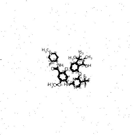 COc1cc(C(=O)N[C@H]2CCN(C)C[C@H]2F)c(Cl)cc1Nc1ncc(C(F)(F)F)c(Oc2cccc3c2C(O)N(C)C3(C)C)n1